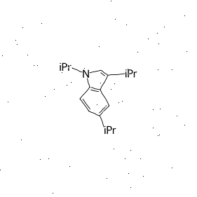 CC(C)c1ccc2c(c1)c(C(C)C)cn2C(C)C